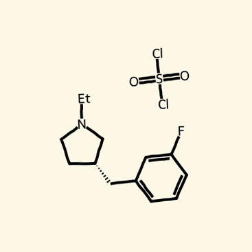 CCN1CC[C@@H](Cc2cccc(F)c2)C1.O=S(=O)(Cl)Cl